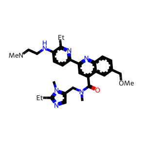 CCc1nc(-c2cc(C(=O)N(C)Cc3cnc(CC)n3C)c3cc(COC)ccc3n2)ccc1NCCNC